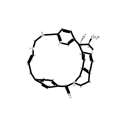 C[C@H](C(=O)O)[C@@H]1c2ccc(nc2)OCC/C=C/Cc2ccc(cc2)C(=O)N2CCc3ccc1cc3C2